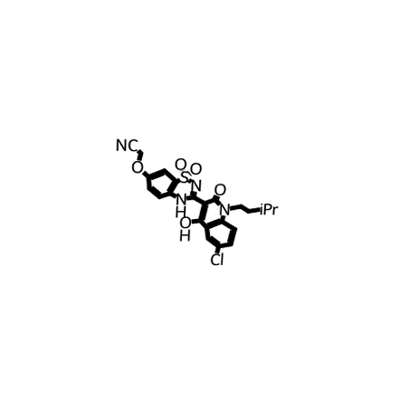 CC(C)CCn1c(=O)c(C2=NS(=O)(=O)c3cc(OCC#N)ccc3N2)c(O)c2cc(Cl)ccc21